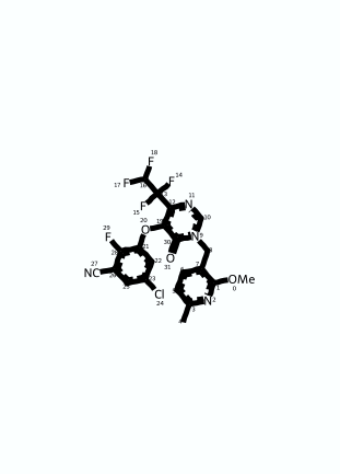 COc1nc(C)ccc1Cn1cnc(C(F)(F)C(F)F)c(Oc2cc(Cl)cc(C#N)c2F)c1=O